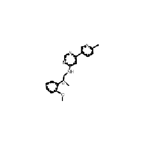 COc1ccccc1[C@H](C)CNc1cc(-c2ccc(C)nc2)ncn1